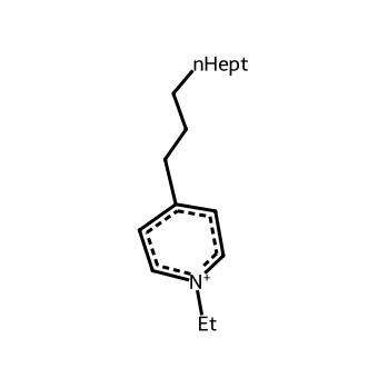 CCCCCCCCCCc1cc[n+](CC)cc1